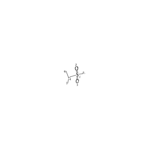 [CH2]S(=O)(=O)C(C)C